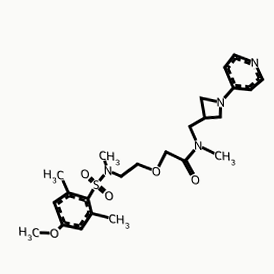 COc1cc(C)c(S(=O)(=O)N(C)CCOCC(=O)N(C)CC2CN(c3ccncc3)C2)c(C)c1